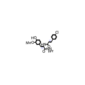 CCCNC(=O)/C(=C/c1ccc(O)c(OC)c1)NC(=O)/C=C/c1ccc(Cl)cc1